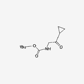 CC(C)(C)OC(=O)NCC(=O)C1CC1